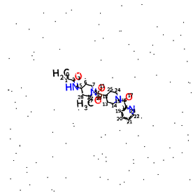 C=CC(=O)NC1CCN(S(=O)(=O)C2CCN(C(=O)c3ccccn3)CC2)C(C)C1